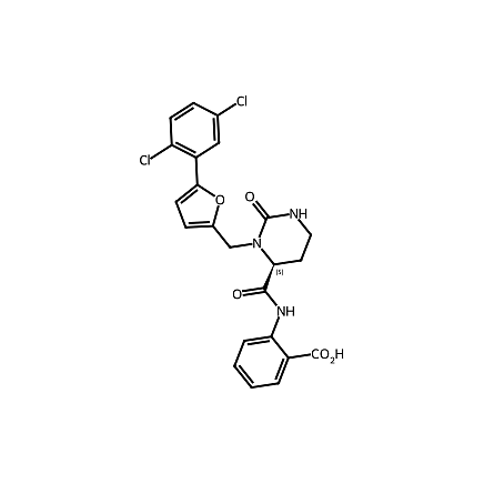 O=C(O)c1ccccc1NC(=O)[C@@H]1CCNC(=O)N1Cc1ccc(-c2cc(Cl)ccc2Cl)o1